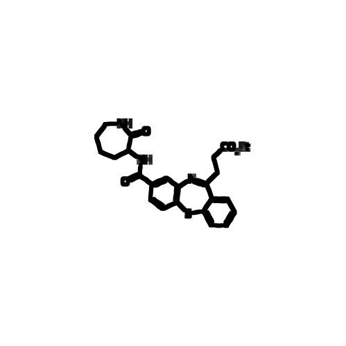 CCOC(=O)CCC1=Nc2cc(C(=O)NC3CCCCNC3=O)ccc2Sc2ccccc21